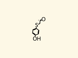 O=[C]CSc1ccc(O)cc1